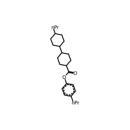 CCCc1ccc(OC(=O)C2CCC(C3CCC(CCC)CC3)CC2)cc1